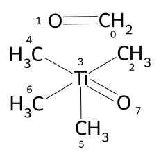 C=O.[CH3][Ti]([CH3])([CH3])([CH3])=[O]